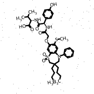 CCCCC1(CCCC)CN(c2ccccc2)c2cc(SC)c(OCC(=O)N[C@@H](C(=O)N[C@H](C(=O)O)C(C)C)c3ccc(O)cc3)cc2S(=O)(=O)C1